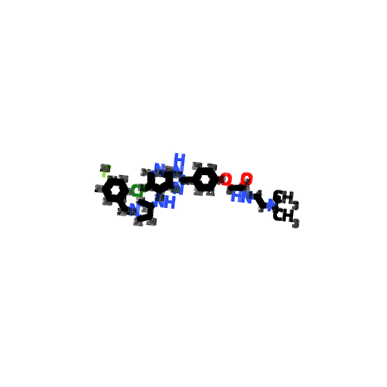 CN(C)CCNC(=O)COc1ccc(-c2nc3c(NC4CCN(Cc5ccc(F)cc5)C4)c(Cl)cnc3[nH]2)cc1